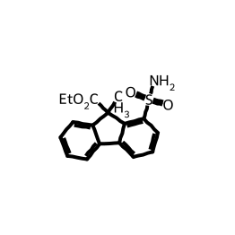 CCOC(=O)C1(C)c2ccccc2-c2cccc(S(N)(=O)=O)c21